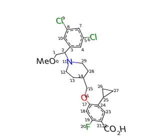 COCC(c1cc(Cl)cc(Cl)c1)N1CCC(COc2cc(F)c(C(=O)O)cc2C2CC2)CC1